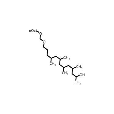 CCCCCCCCOCOCCCC(C)CC(C)CC(C)CC(C)CC(C)O